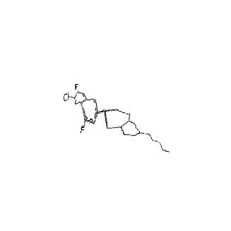 CCCCCC1CCC2CC(c3cc(F)c4cc(Cl)c(F)cc4c3)CCC2C1